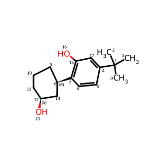 CC(C)(C)c1ccc([C@@H]2CCC[C@H](O)C2)c(O)c1